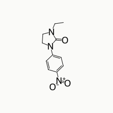 CCN1CCN(c2ccc([N+](=O)[O-])cc2)C1=O